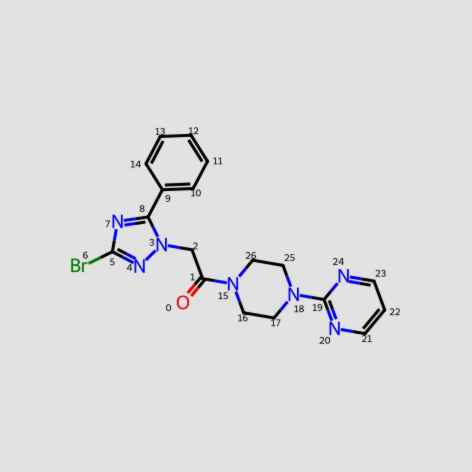 O=C(Cn1nc(Br)nc1-c1ccccc1)N1CCN(c2ncccn2)CC1